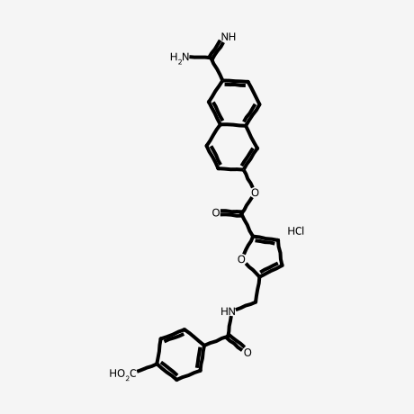 Cl.N=C(N)c1ccc2cc(OC(=O)c3ccc(CNC(=O)c4ccc(C(=O)O)cc4)o3)ccc2c1